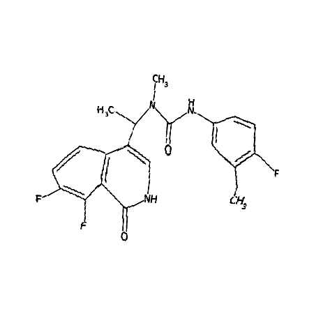 Cc1cc(NC(=O)N(C)C(C)c2c[nH]c(=O)c3c(F)c(F)ccc23)ccc1F